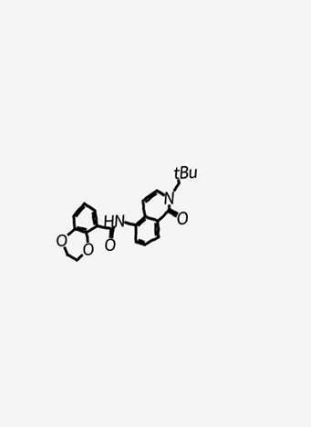 CC(C)(C)Cn1ccc2c(NC(=O)c3cccc4c3OCCO4)cccc2c1=O